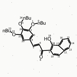 CCCCOc1cc(/C=C/C(=O)c2ccc3ccccc3c2O)cc(OCCCC)c1OCCCC